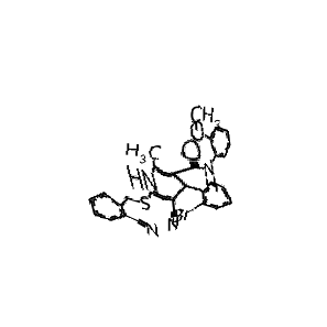 COc1ccccc1NC(=O)C1=C(C)NC(SCc2ccccc2C#N)=C(C#N)C1c1ccccc1Br